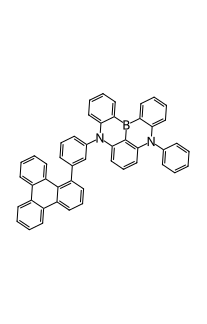 c1ccc(N2c3ccccc3B3c4ccccc4N(c4cccc(-c5cccc6c7ccccc7c7ccccc7c56)c4)c4cccc2c43)cc1